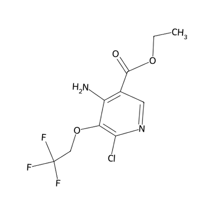 CCOC(=O)c1cnc(Cl)c(OCC(F)(F)F)c1N